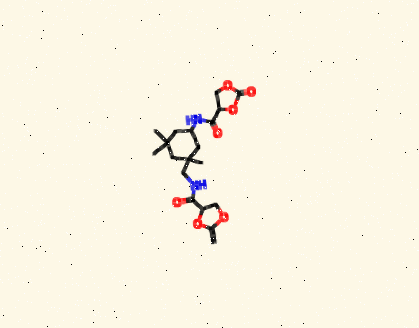 C=C1OCC(C(=O)NCC2(C)CC(NC(=O)C3COC(=O)O3)CC(C)(C)C2)O1